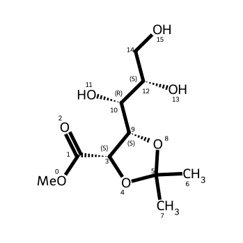 COC(=O)[C@H]1OC(C)(C)O[C@H]1[C@H](O)[C@@H](O)CO